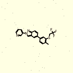 Cc1ccc(-c2ccc3nn(-c4cccnc4)cc3c2)cc1SCC(F)(F)F